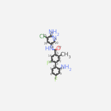 Cc1cc(-c2ccc(F)cc2N)c(F)cc1C(=O)Nc1cnc(N)c(Cl)c1